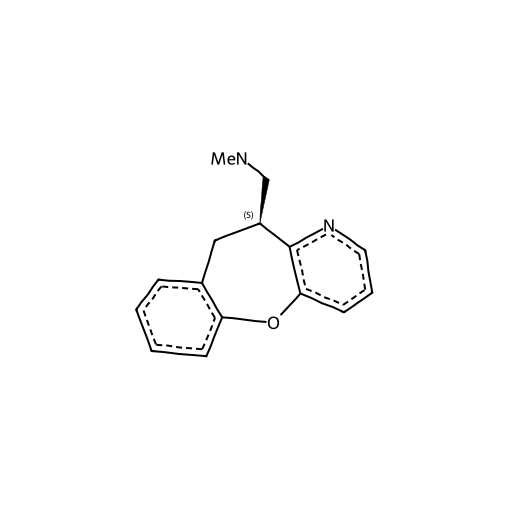 CNC[C@@H]1Cc2ccccc2Oc2cccnc21